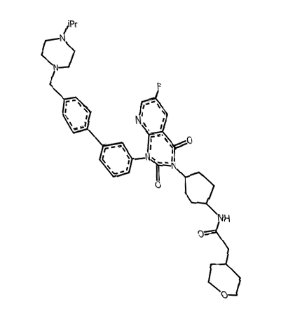 CC(C)N1CCN(Cc2ccc(-c3cccc(-n4c(=O)n(C5CCC(NC(=O)CC6CCOCC6)CC5)c(=O)c5cc(F)cnc54)c3)cc2)CC1